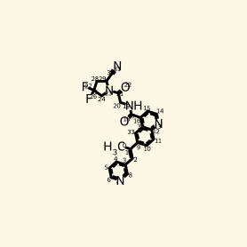 CC(=Cc1cccnc1)c1ccc2nccc(C(=O)NCC(=O)N3CC(F)(F)CC3C#N)c2c1